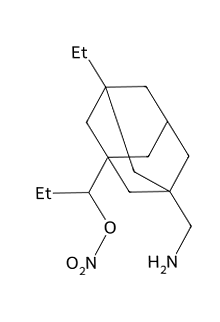 CCC(O[N+](=O)[O-])C12CC3CC(CC)(CC(CN)(C3)C1)C2